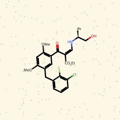 CCOC(=O)/C(=C/N[C@H](CO)C(C)C)C(=O)c1cc(Cc2cccc(Cl)c2F)c(OC)cc1OC